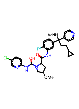 CO[C@@H]1C[C@H](C(=O)Nc2cc(C(CCC3CC3)(NC(C)=O)c3ccncc3)ccc2F)N(C(O)Nc2ccc(Cl)cn2)C1